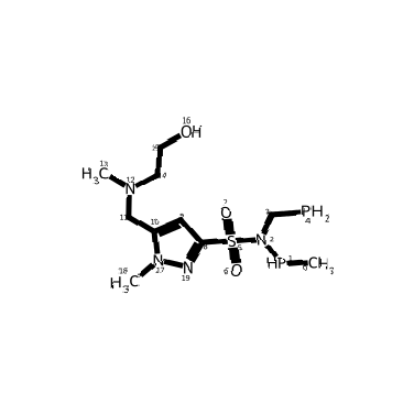 CPN(CP)S(=O)(=O)c1cc(CN(C)CCO)n(C)n1